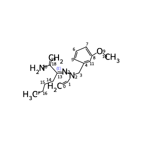 C=CN(Cc1cccc(OC)c1)/N=C(\CCCC)C(=C)N